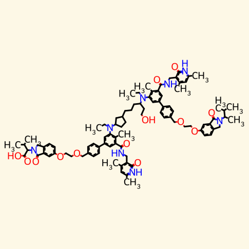 CCN(c1cc(-c2ccc(COCCOc3ccc4c(c3)C(=O)N(C(C)C(C)C)C4)cc2)cc(C(=O)NCc2c(C)cc(C)[nH]c2=O)c1C)C(CCO)CCCC1CCC(N(CC)c2cc(-c3ccc(COCCOc4ccc5c(c4)C(=O)N(C(C(=O)O)C(C)C)C5)cc3)cc(C(=O)NCc3c(C)cc(C)[nH]c3=O)c2C)C1